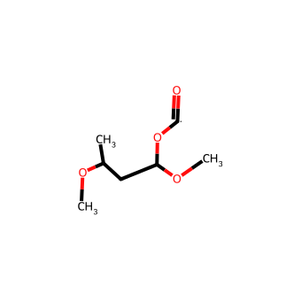 COC(C)CC(OC)O[C]=O